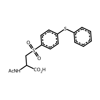 CC(=O)NC(CS(=O)(=O)c1ccc(Sc2ccccc2)cc1)C(=O)O